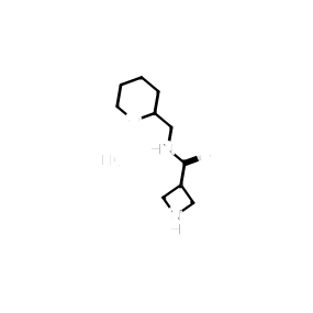 Cl.O=C(NCC1CCCCO1)C1CNC1